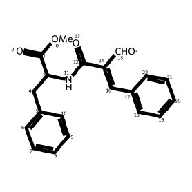 COC(=O)C(Cc1ccccc1)NC(=O)C([C]=O)=Cc1ccccc1